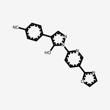 N#Cc1ccc(-c2cnn(-c3ccc(-c4ncco4)cn3)c2O)cc1